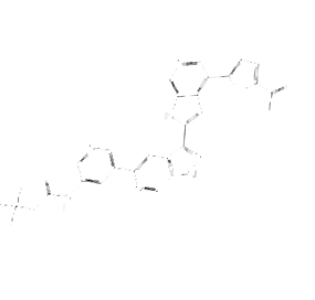 CC(=O)c1ccc(-c2cncc3[nH]c(-c4n[nH]c5cnc(-c6cncc(NC(=O)CC(C)(C)C)c6)cc45)cc23)s1